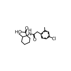 Cc1cc(Cl)ccc1CC(=O)NC1(C(=O)O)CCCCC1C